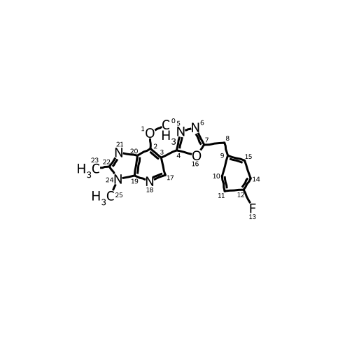 COc1c(-c2nnc(Cc3ccc(F)cc3)o2)cnc2c1nc(C)n2C